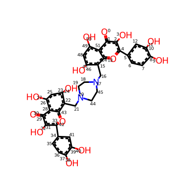 O=c1c(O)c(-c2ccc(O)c(O)c2)oc2c(CN3CCN(Cc4c(O)cc(O)c5c(=O)c(O)c(-c6ccc(O)c(O)c6)oc45)CC3)c(O)cc(O)c12